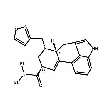 CCN(CC)C(=O)[C@@H]1C=C2c3cccc4[nH]cc(c34)C[C@H]2N(Cc2ccon2)C1